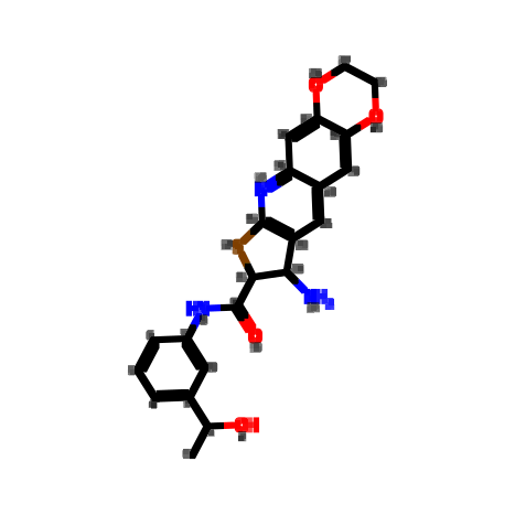 CC(O)c1cccc(NC(=O)C2Sc3nc4cc5c(cc4cc3C2N)OCCO5)c1